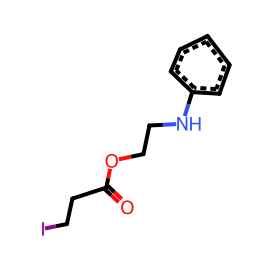 O=C(CCI)OCCNc1ccccc1